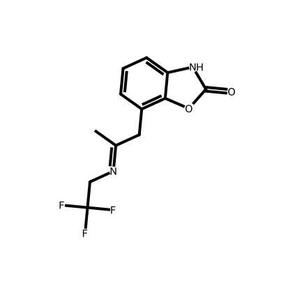 C/C(Cc1cccc2[nH]c(=O)oc12)=N\CC(F)(F)F